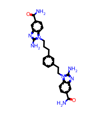 NC(=O)c1ccc2c(c1)nc(N)n2CCCc1cccc(CCn2c(N)nc3cc(C(N)=O)ccc32)c1